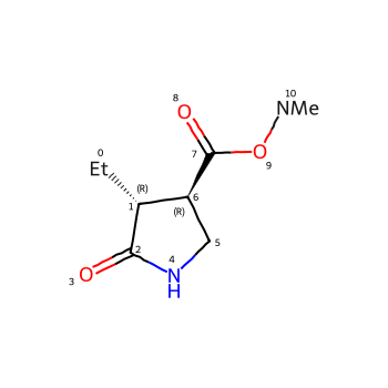 CC[C@H]1C(=O)NC[C@@H]1C(=O)ONC